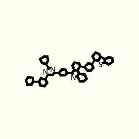 c1ccc(-c2cccc(-c3cc(-c4ccc(-c5nc6ccccc6c6c(-c7cccc(-c8cccc9c8sc8ccccc89)c7)cccc56)cc4)nc(-c4ccccc4)n3)c2)cc1